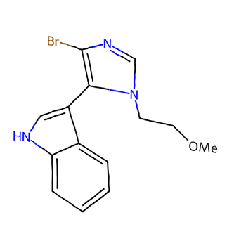 COCCn1cnc(Br)c1-c1c[nH]c2ccccc12